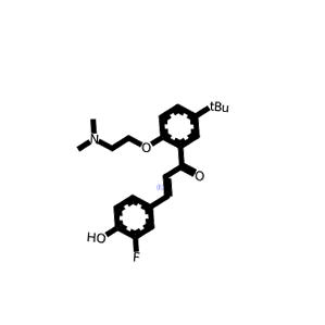 CN(C)CCOc1ccc(C(C)(C)C)cc1C(=O)/C=C/c1ccc(O)c(F)c1